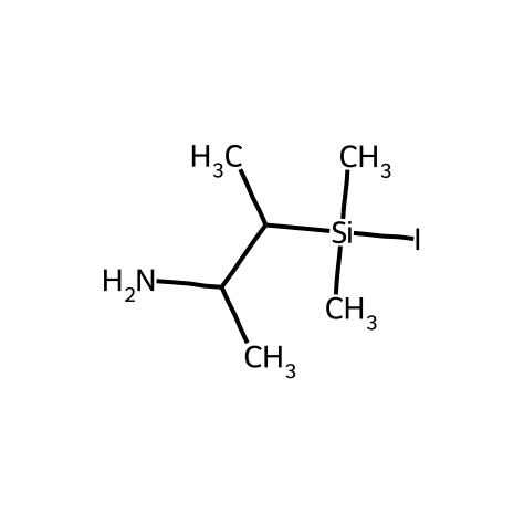 CC(N)C(C)[Si](C)(C)I